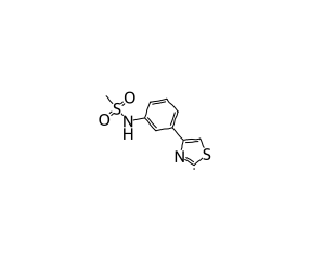 CS(=O)(=O)Nc1cccc(-c2cs[c]n2)c1